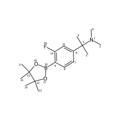 CN(C)C(C)(C)c1ccc(B2OC(C)(C)C(C)(C)O2)c(F)c1